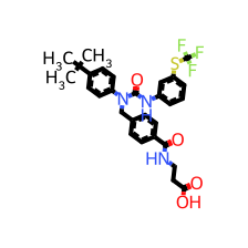 CC(C)(C)c1ccc(N(Cc2ccc(C(=O)NCCC(=O)O)cc2)C(=O)Nc2cccc(SC(F)(F)F)c2)cc1